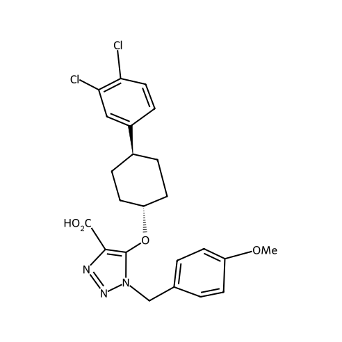 COc1ccc(Cn2nnc(C(=O)O)c2O[C@H]2CC[C@H](c3ccc(Cl)c(Cl)c3)CC2)cc1